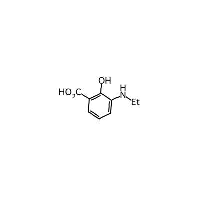 CCNc1c[c]cc(C(=O)O)c1O